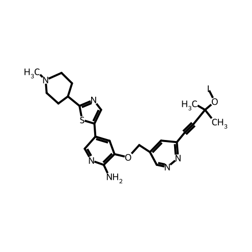 CN1CCC(c2ncc(-c3cnc(N)c(OCc4cnnc(C#CC(C)(C)OI)c4)c3)s2)CC1